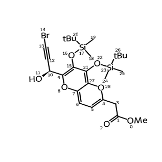 COC(=O)CC1=CC=C2OC([C@@H](O)C#CBr)=C(O[Si](C)(C)C(C)(C)C)C(O[Si](C)(C)C(C)(C)C)=C2O1